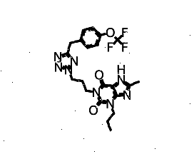 CCCn1c(=O)n(CCCn2nnc(Cc3ccc(OC(F)(F)F)cc3)n2)c(=O)c2[nH]c(C)nc21